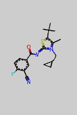 Cc1c(C(C)(C)C)s/c(=N\C(=O)c2ccc(F)c(C#N)c2)n1CC1CC1